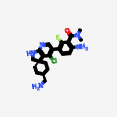 CN(C)C(=O)c1c(N)ccc(-c2cnc3c(c2Cl)[C@]2(CC[C@H](CN)CC2)CN3)c1F